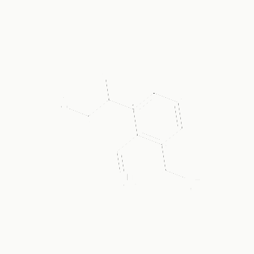 [CH2]C(CO)c1cccc(CO)c1C=C